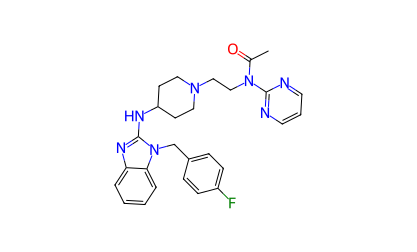 CC(=O)N(CCN1CCC(Nc2nc3ccccc3n2Cc2ccc(F)cc2)CC1)c1ncccn1